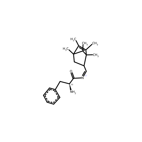 CC1=C(C)C2(C)C(/C=N\C(=O)[C@@H](N)Cc3ccccc3)CC1(C)C2C